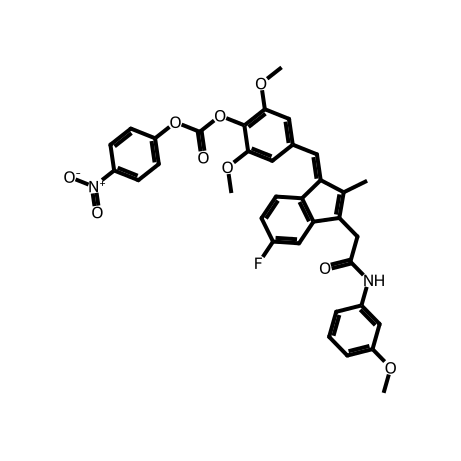 COc1cccc(NC(=O)CC2=C(C)/C(=C/c3cc(OC)c(OC(=O)Oc4ccc([N+](=O)[O-])cc4)c(OC)c3)c3ccc(F)cc32)c1